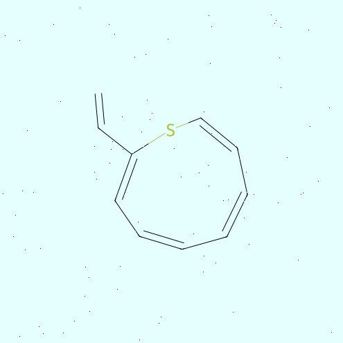 C=Cc1cccccccs1